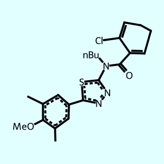 CCCCN(C(=O)C1=CCCC=C1Cl)c1nnc(-c2cc(C)c(OC)c(C)c2)s1